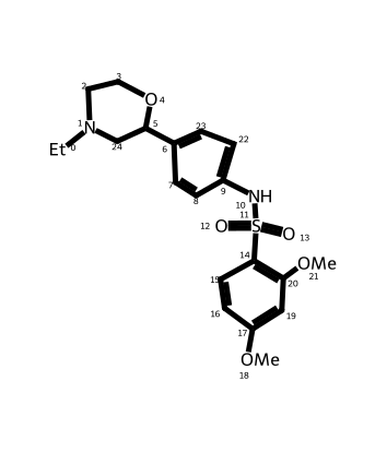 CCN1CCOC(c2ccc(NS(=O)(=O)c3ccc(OC)cc3OC)cc2)C1